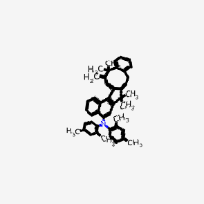 C=C1/C=C2\C(=C/Cc3ccccc3C1(C)C)C(C)(C)c1cc(N(c3ccc(C)cc3C)c3ccc(C)cc3C)c3ccccc3c12